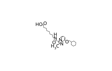 Cc1nc2c(OCC3CCCCC3)cccn2c1C(=O)NCCCCCCCC(=O)O